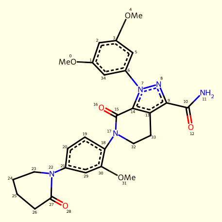 COc1cc(OC)cc(-n2nc(C(N)=O)c3c2C(=O)N(c2ccc(N4CCCCC4=O)cc2OC)CC3)c1